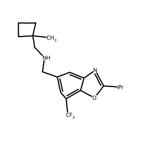 CC(C)c1nc2cc(CNCC3(C)CCC3)cc(C(F)(F)F)c2o1